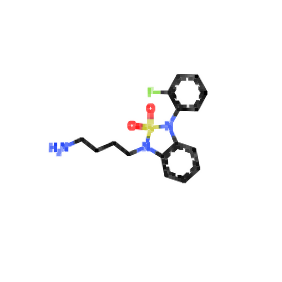 NCCCCN1c2ccccc2N(c2ccccc2F)S1(=O)=O